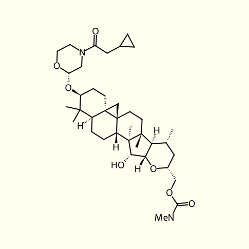 CNC(=O)OC[C@H]1C[C@@H](C)[C@H]2[C@H](O1)[C@H](O)[C@@]1(C)[C@@H]3CC[C@H]4C(C)(C)[C@@H](O[C@H]5CN(C(=O)CC6CC6)CCO5)CC[C@@]45C[C@@]35CC[C@]21C